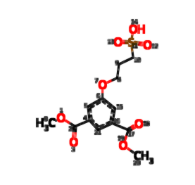 COC(=O)c1cc(OCCCS(=O)(=O)O)cc(C(=O)OC)c1